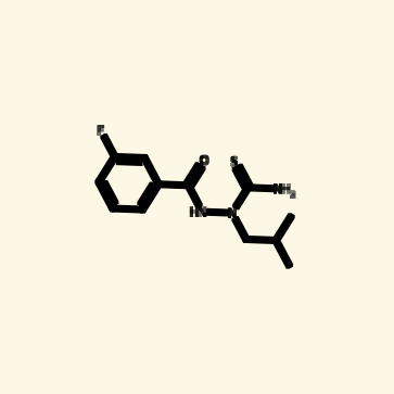 CC(C)CN(NC(=O)c1cccc(F)c1)C(N)=S